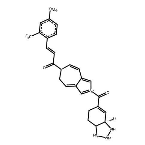 COc1ccc(/C=C/C(=O)N2C=CC3=C[N+](C(=O)C4=C[C@H]5NNNC5CC4)=CC3=CC2)c(C(F)(F)F)c1